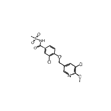 COc1ncc(COc2ccc(C(=O)NS(C)(=O)=O)cc2Cl)cc1Cl